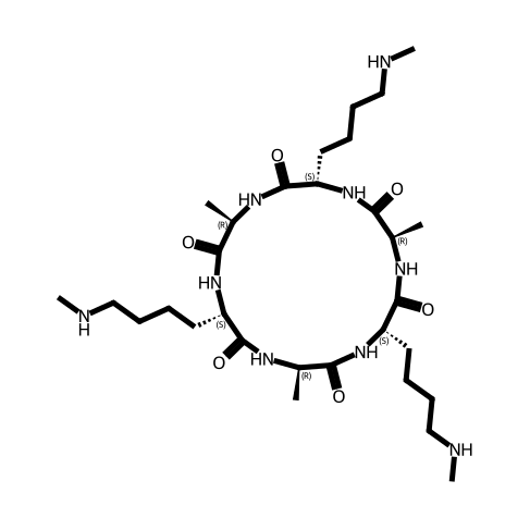 CNCCCC[C@@H]1NC(=O)[C@@H](C)NC(=O)[C@H](CCCCNC)NC(=O)[C@@H](C)NC(=O)[C@H](CCCCNC)NC(=O)[C@@H](C)NC1=O